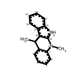 CC1c2ccccc2N(C)c2[nH]c3ccccc3c21